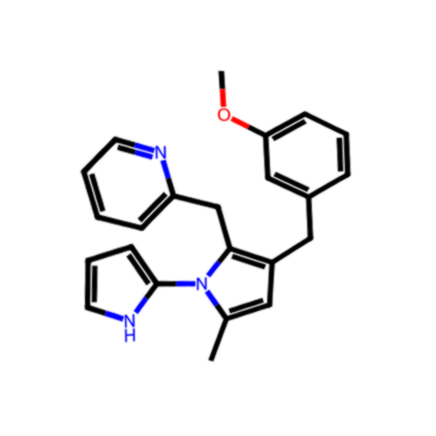 COc1cccc(Cc2cc(C)n(-c3ccc[nH]3)c2Cc2ccccn2)c1